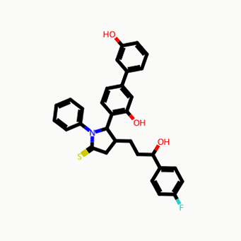 Oc1cccc(-c2ccc(C3C(CCC(O)c4ccc(F)cc4)CC(=S)N3c3ccccc3)c(O)c2)c1